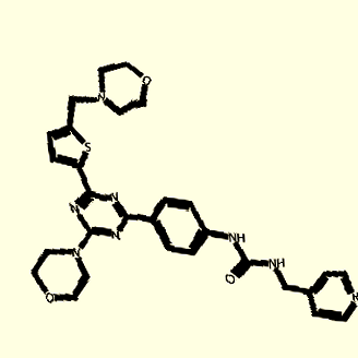 O=C(NCc1ccncc1)Nc1ccc(-c2nc(-c3ccc(CN4CCOCC4)s3)nc(N3CCOCC3)n2)cc1